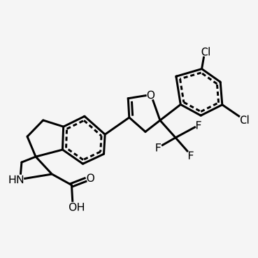 O=C(O)C1NCC12CCc1cc(C3=COC(c4cc(Cl)cc(Cl)c4)(C(F)(F)F)C3)ccc12